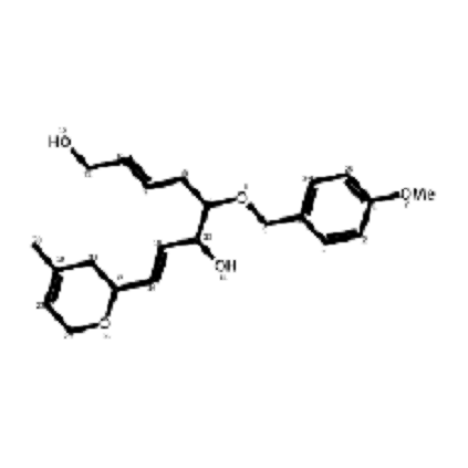 COc1ccc(COC(CC=CCO)C(O)C=CC2CC(C)=CCO2)cc1